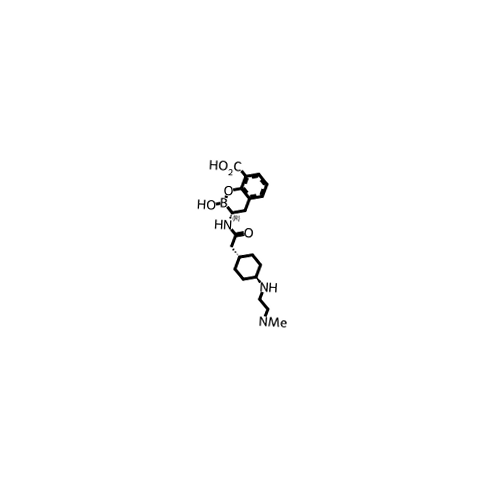 CNCCN[C@H]1CC[C@H](CC(=O)N[C@H]2Cc3cccc(C(=O)O)c3OB2O)CC1